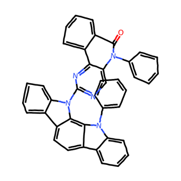 O=c1c2ccccc2c2nc(-n3c4ccccc4c4ccc5c6ccccc6n(-c6ccccc6)c5c43)ncc2n1-c1ccccc1